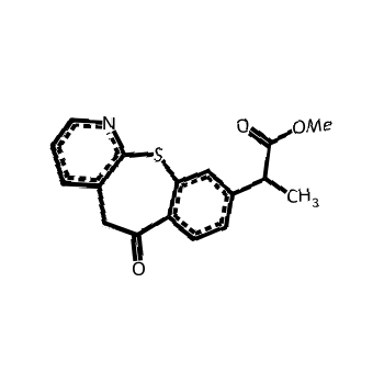 COC(=O)C(C)c1ccc2c(c1)Sc1ncccc1CC2=O